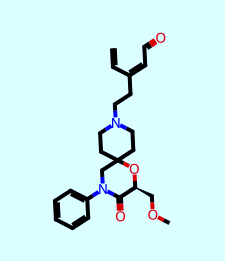 C=C/C(=C\C=O)CCN1CCC2(CC1)CN(c1ccccc1)C(=O)[C@H](COC)O2